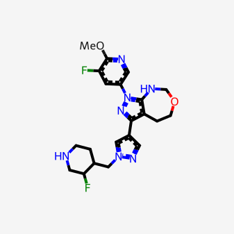 COc1ncc(-n2nc(-c3cnn(CC4CCNCC4F)c3)c3c2NCOCC3)cc1F